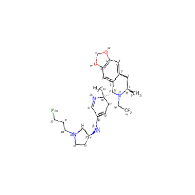 C[C@@H]1Cc2cc3c(cc2[C@@H](C2(C)CC=C(N[C@H]4CCN(CCCF)C4)C=N2)N1CC(F)(F)F)OCO3